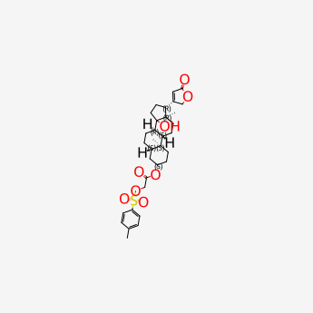 Cc1ccc(S(=O)(=O)OCC(=O)O[C@H]2CC[C@@]3(C)[C@@H](CC[C@@H]4[C@@H]3CC[C@]3(C)[C@@H](C5=CC(=O)OC5)CCC43O)C2)cc1